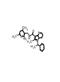 Cc1cc(C)c(CNC(=O)c2c(C)n(C(C)c3ccccc3)c3cccnc23)c(O)n1